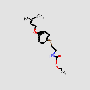 CCOC(=O)NCCSc1ccc(OCC=C(C)C)cc1